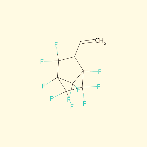 C=CC1C(F)(F)C2(F)C(F)(F)C(F)(F)C1(F)C2(F)F